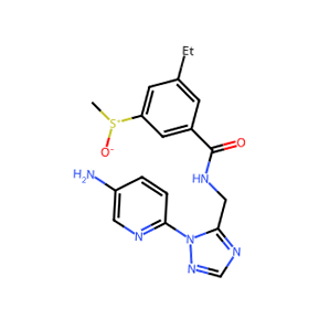 CCc1cc(C(=O)NCc2ncnn2-c2ccc(N)cn2)cc([S+](C)[O-])c1